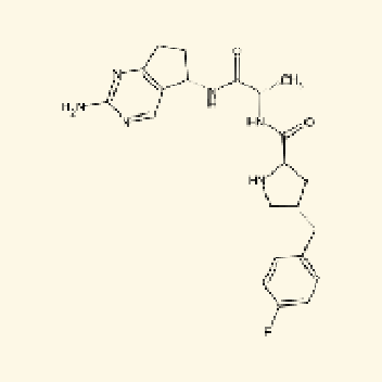 C[C@H](NC(=O)[C@H]1C[C@H](Cc2ccc(F)cc2)CN1)C(=O)N[C@H]1CCc2nc(N)ncc21